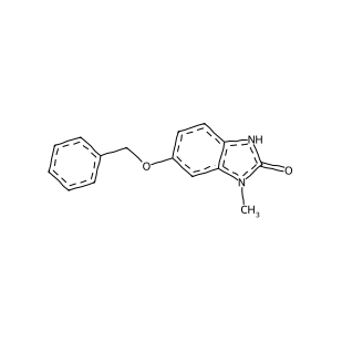 Cn1c(=O)[nH]c2ccc(OCc3ccccc3)cc21